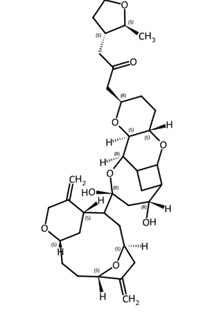 C=C1C[C@@H]2CC([C@@]3(O)C[C@@H](O)C4CC5C4O[C@H]4CC[C@H](CC(=O)C[C@@H]6CCO[C@H]6C)O[C@@H]4[C@@H]5O3)[C@@H]3C[C@H](CC[C@@H]1O2)OCC3=C